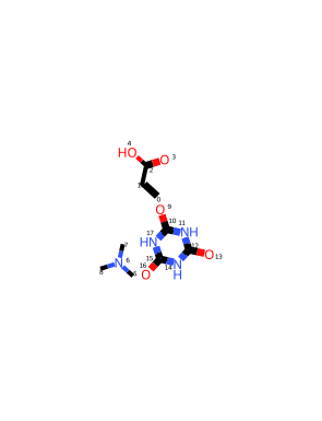 C=CC(=O)O.CN(C)C.O=c1[nH]c(=O)[nH]c(=O)[nH]1